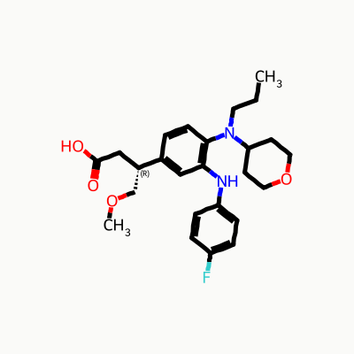 CCCN(c1ccc([C@H](COC)CC(=O)O)cc1Nc1ccc(F)cc1)C1CCOCC1